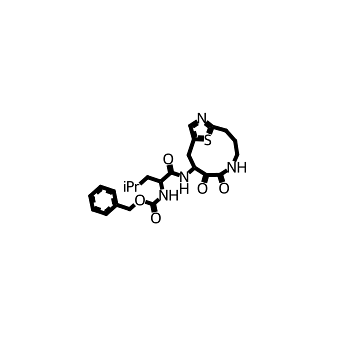 CC(C)CC(NC(=O)OCc1ccccc1)C(=O)NC1Cc2cnc(s2)CCCNC(=O)C1=O